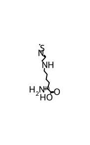 CSN=CCNCCCC[C@H](N)C(=O)O